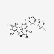 CCNC(=O)c1nnc(-c2cc(CC)c(O)cc2O)n1-c1ccc(CC2CCN(CC3CCN(C(C)=O)CC3)CC2)cc1